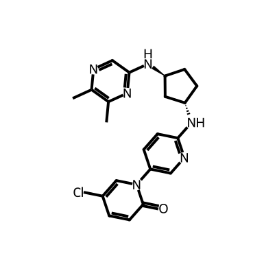 Cc1ncc(N[C@H]2CC[C@H](Nc3ccc(-n4cc(Cl)ccc4=O)cn3)C2)nc1C